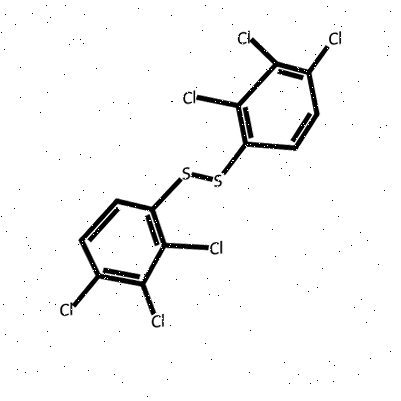 Clc1ccc(SSc2ccc(Cl)c(Cl)c2Cl)c(Cl)c1Cl